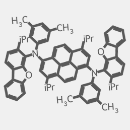 Cc1cc(C)cc(N(c2cc(C(C)C)c3ccc4c(N(c5cc(C)cc(C)c5)c5c(C(C)C)ccc6c5oc5ccccc56)cc(C(C)C)c5ccc2c3c54)c2c(C(C)C)ccc3c2oc2ccccc23)c1